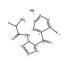 Br.CC(N)C(=O)Nn1cccc1C(=O)c1ccccc1F